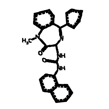 CN1C(=O)C(NC(=O)Nc2cccc3ccccc23)N=C(c2ccccc2)c2ccccc21